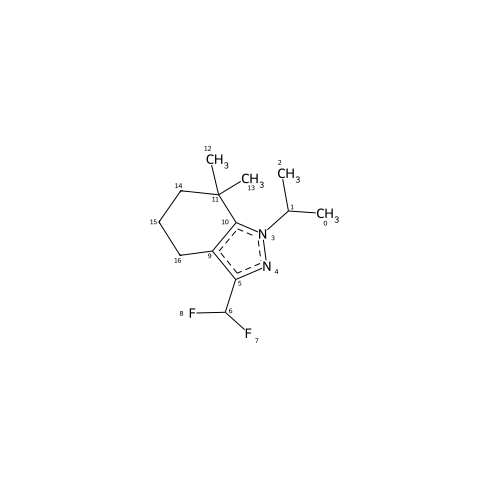 CC(C)n1nc(C(F)F)c2c1C(C)(C)CCC2